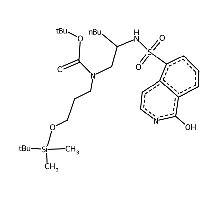 CCCCC(CN(CCCO[Si](C)(C)C(C)(C)C)C(=O)OC(C)(C)C)NS(=O)(=O)c1cccc2c(O)nccc12